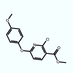 COC(=O)c1ccc(Oc2ccc(OC)cc2)nc1Cl